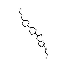 CCCCC1CCC(C2CCC(C(=O)Oc3ccc(OCCC)cc3)CC2)CC1